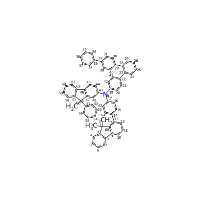 CC1(C)c2ccccc2-c2cccc(-c3ccc(N(c4ccc(-c5ccccc5-c5ccc(-c6ccccc6)cc5)cc4)c4ccc5c(c4)C(C)(c4ccccc4)c4ccccc4-5)cc3)c21